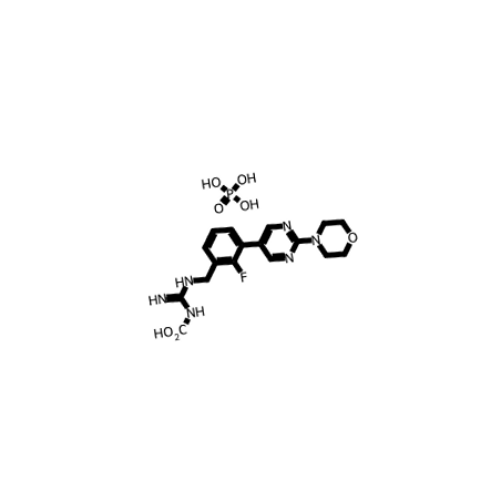 N=C(NCc1cccc(-c2cnc(N3CCOCC3)nc2)c1F)NC(=O)O.O=P(O)(O)O